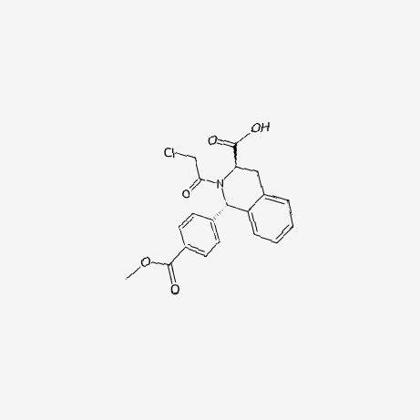 COC(=O)c1ccc([C@H]2c3ccccc3C[C@H](C(=O)O)N2C(=O)CCl)cc1